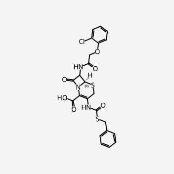 O=C(COc1ccccc1Cl)NC1C(=O)N2C(C(=O)O)=C(NC(=O)SCc3ccccc3)CS[C@H]12